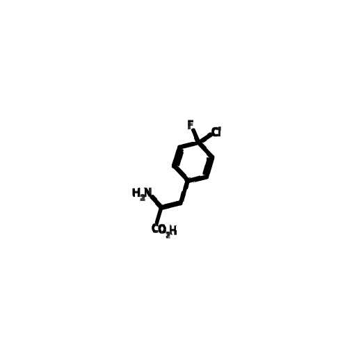 NC(CC1C=CC(F)(Cl)C=C1)C(=O)O